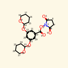 O=C(ON1C(=O)CCC1=O)c1cc(OC2CCCCO2)cc(OC2CCCCO2)c1